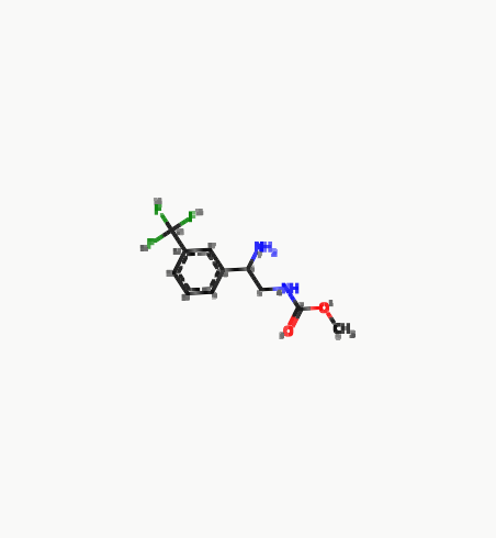 COC(=O)NCC(N)c1cccc(C(F)(F)F)c1